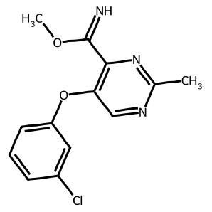 COC(=N)c1nc(C)ncc1Oc1cccc(Cl)c1